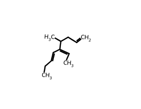 C=CCC(C)C(C=CCC)=CC